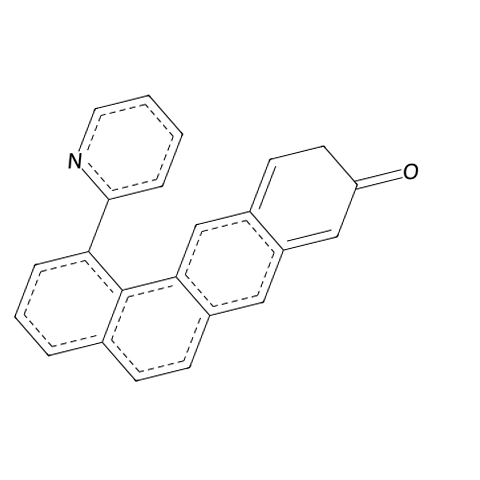 O=C1C=c2cc3ccc4cccc(-c5ccccn5)c4c3cc2=CC1